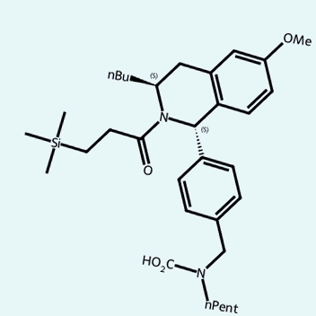 CCCCCN(Cc1ccc([C@H]2c3ccc(OC)cc3C[C@H](CCCC)N2C(=O)CC[Si](C)(C)C)cc1)C(=O)O